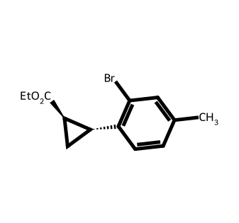 CCOC(=O)[C@@H]1C[C@H]1c1ccc(C)cc1Br